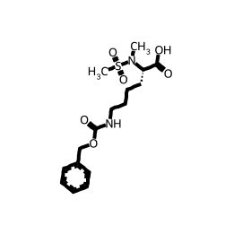 CN([C@@H](CCCCNC(=O)OCc1ccccc1)C(=O)O)S(C)(=O)=O